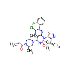 C=CC(=O)N1C[C@H](C)N(C2=NP(C)(=O)N(c3scnc3C(C)C)c3nc(-c4ccccc4F)c(Cl)cc32)C[C@H]1C